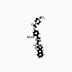 COc1cc(OCC(=O)N2CCN(C)CC2)ccc1-c1csc(CNC(=O)C2(CC(=O)O)Cc3ccccc3C2)n1